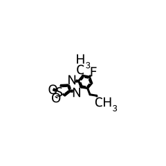 CCCc1cc(F)c(C)c2nc3c(nc12)=CS(=O)(=O)C=3